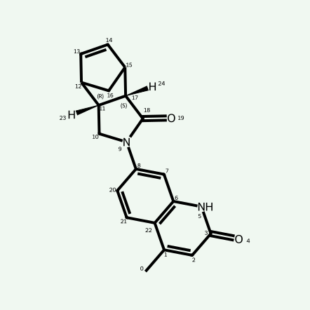 Cc1cc(=O)[nH]c2cc(N3C[C@@H]4C5C=CC(C5)[C@@H]4C3=O)ccc12